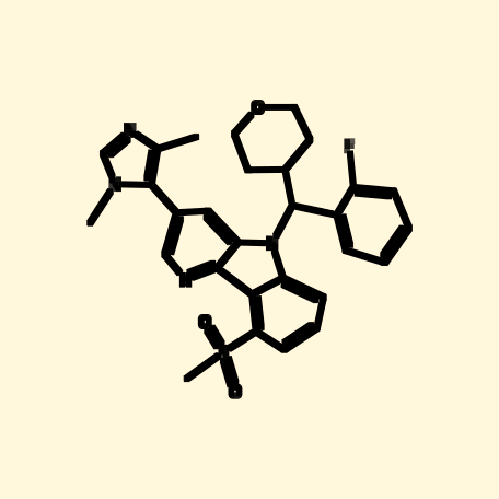 Cc1ncn(C)c1-c1cnc2c3c(S(C)(=O)=O)cccc3n(C(c3ccccc3F)C3CCOCC3)c2c1